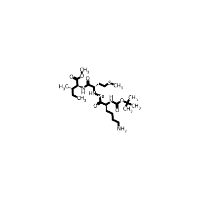 CC[C@H](C)[C@H](NC(=O)[C@H](CCSC)N[Se]C(=O)[C@H](CCCCN)NC(=O)OC(C)(C)C)C(=O)OC